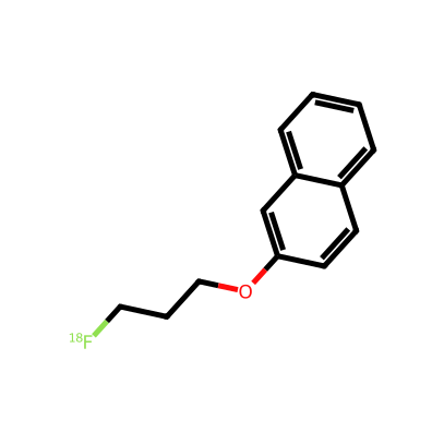 [18F]CCCOc1ccc2ccccc2c1